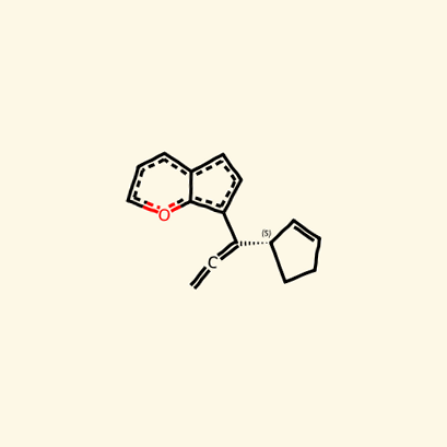 C=C=C(c1ccc2cccoc1-2)[C@@H]1C=CCC1